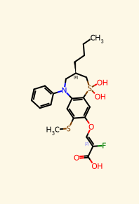 CCCC[C@@H]1CN(c2ccccc2)c2cc(SC)c(O/C=C(\F)C(=O)O)cc2S(O)(O)C1